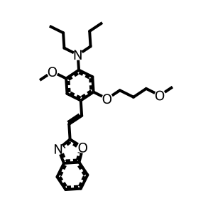 CCCN(CCC)c1cc(OCCCOC)c(C=Cc2nc3ccccc3o2)cc1OC